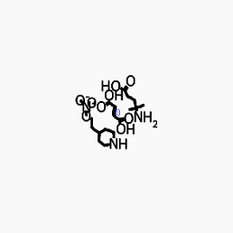 CC(C)(N)CCC(=O)O.O=C(O)/C=C/C(=O)O.O=[N+]([O-])OCCC1CCNCC1